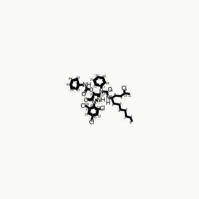 CCCCCCCC(CCC(C)Cl)NC(=O)N(c1ccccc1)c1[nH]n(-c2c(Cl)cc(Cl)cc2Cl)c(=O)c1OC(=O)Nc1ccccc1